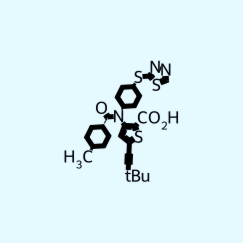 CC(C)(C)C#Cc1cc(N(C(=O)[C@H]2CC[C@H](C)CC2)[C@H]2CC[C@H](Sc3nncs3)CC2)c(C(=O)O)s1